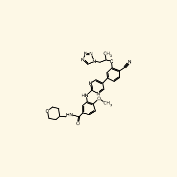 COc1ccc(C(=O)NCC2CCOCC2)cc1Nc1ncc(-c2ccc(C#N)c(OC(C)Cn3cnnn3)c2)cn1